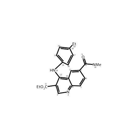 CCOC(=O)c1cnc2ccc(C(=O)NC)cc2c1Nc1ccc(CC)cc1